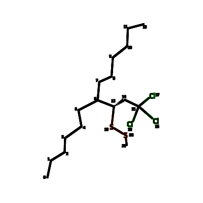 CCCCCCC(CCCCCC)[C@H](CC(Cl)(Cl)Cl)SSC